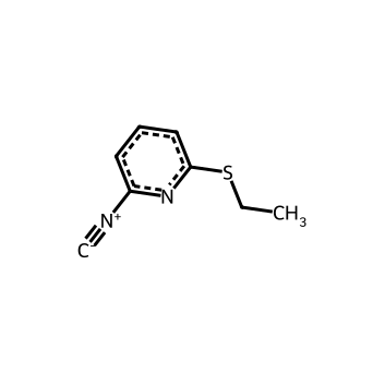 [C-]#[N+]c1cccc(SCC)n1